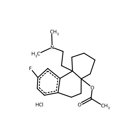 CC(=O)OC12CCCCC1(CCN(C)C)c1cc(F)ccc1CC2.Cl